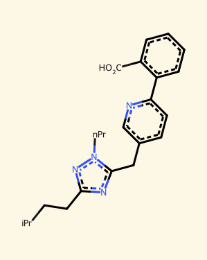 CCCn1nc(CCC(C)C)nc1Cc1ccc(-c2ccccc2C(=O)O)nc1